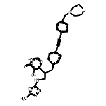 Cc1nnc(NCC(Cc2ccc(C#Cc3ccc(CN4CCOCC4)cc3)cc2)c2nc[nH]c(=O)c2O)o1